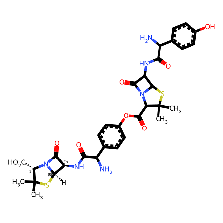 CC1(C)SC2C(NC(=O)C(N)c3ccc(O)cc3)C(=O)N2C1C(=O)Oc1ccc(C(N)C(=O)N[C@@H]2C(=O)N3[C@@H]2SC(C)(C)[C@@H]3C(=O)O)cc1